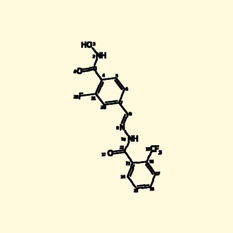 O=C(NO)c1ccc(/C=N/NC(=O)c2ccccc2C(F)(F)F)cc1F